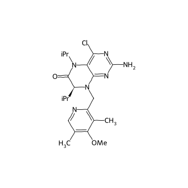 COc1c(C)cnc(CN2c3nc(N)nc(Cl)c3N(C(C)C)C(=O)[C@@H]2C(C)C)c1C